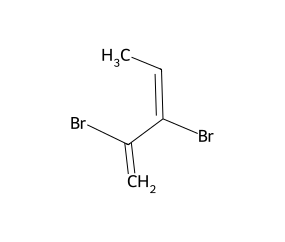 C=C(Br)/C(Br)=C\C